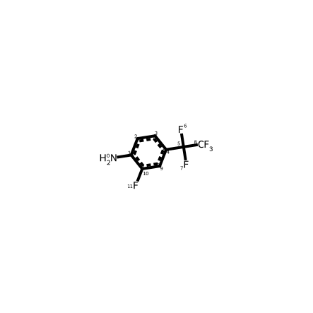 Nc1ccc(C(F)(F)C(F)(F)F)cc1F